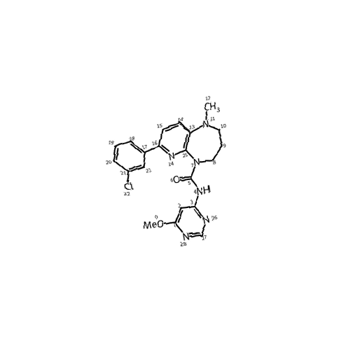 COc1cc(NC(=O)N2CCCN(C)c3ccc(-c4cccc(Cl)c4)nc32)ncn1